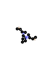 C1=c2sc3ccccc3c2=CC(c2ccc3c(c2)c2ccccc2n3-c2cccc(-c3cc(-c4cccc(-c5ccccc5-c5ccccc5)c4)nc(-n4c5ccccc5c5cc(-c6ccc7sc8ccccc8c7c6)ccc54)n3)c2)C1